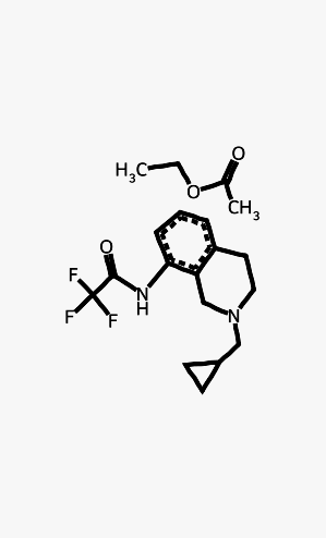 CCOC(C)=O.O=C(Nc1cccc2c1CN(CC1CC1)CC2)C(F)(F)F